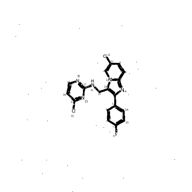 Fc1ccc(-c2nc3ccc(Cl)cn3c2CNc2nccc(Cl)n2)cc1